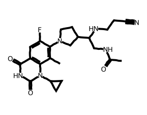 CC(=O)NCC(NCCC#N)C1CCN(c2c(F)cc3c(=O)[nH]c(=O)n(C4CC4)c3c2C)C1